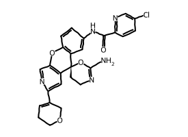 NC1=NCC[C@]2(O1)c1cc(NC(=O)c3ccc(Cl)cn3)ccc1Oc1cnc(C3=CCCOC3)cc12